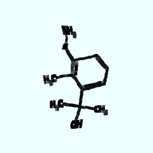 Cc1c(SN)cccc1C(C)(C)O